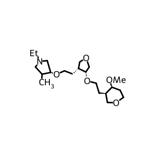 CCN1CC(C)[C@@H](OCC[C@@H]2COC[C@@H]2OCC[C@@H]2COCC[C@@H]2OC)C1